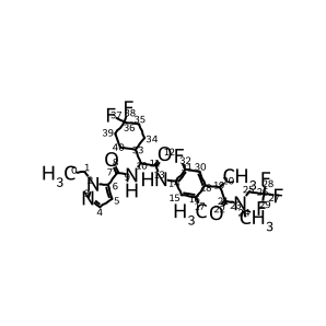 CCn1nccc1C(=O)N[C@H](C(=O)Nc1cc(C)c(C(C)C(=O)N(C)CC(F)(F)F)cc1F)C1CCC(F)(F)CC1